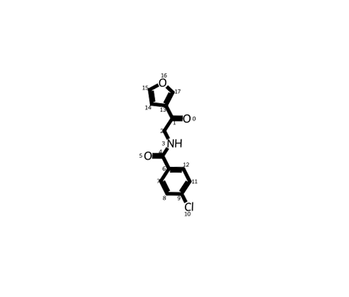 O=C(CNC(=O)c1ccc(Cl)cc1)c1ccoc1